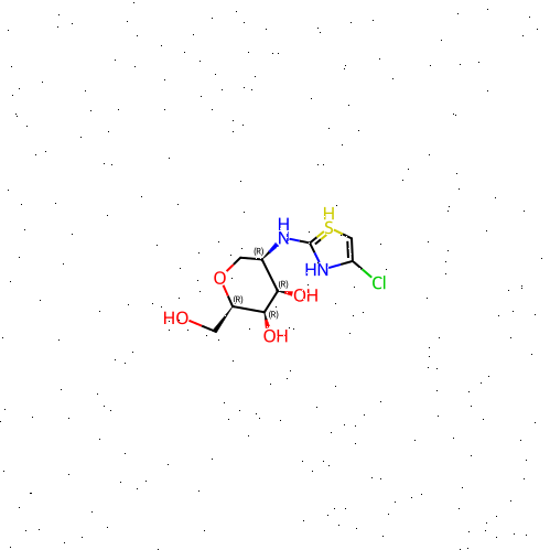 OC[C@H]1OC[C@@H](NC2=[SH]C=C(Cl)N2)[C@@H](O)[C@H]1O